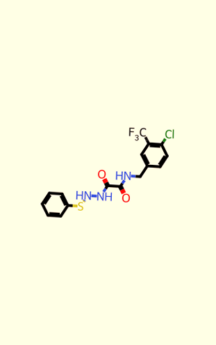 O=C(NCc1ccc(Cl)c(C(F)(F)F)c1)C(=O)NNSc1ccccc1